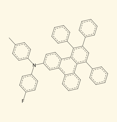 Cc1ccc(N(c2ccc(F)cc2)c2ccc3c(c2)c2ccccc2c2c(-c4ccccc4)cc(-c4ccccc4)c(-c4ccccc4)c32)cc1